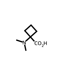 CN(C)C1(C(=O)O)CCC1